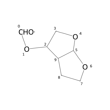 O=[C]OC1COC2OCCC12